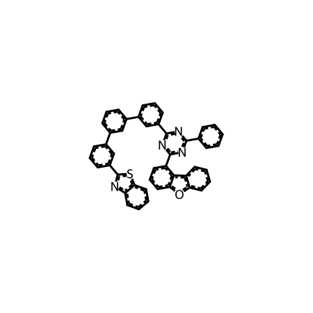 c1ccc(-c2nc(-c3cccc(-c4cccc(-c5cccc(-c6nc7ccccc7s6)c5)c4)c3)nc(-c3cccc4oc5ccccc5c34)n2)cc1